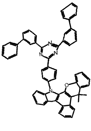 CC1(C)c2ccccc2Oc2c1c1ccccc1c1c3ccccc3n(-c3ccc(-c4nc(-c5cccc(-c6ccccc6)c5)nc(-c5cccc(-c6ccccc6)c5)n4)cc3)c21